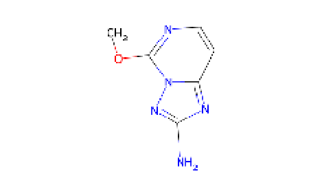 COc1nccc2nc(N)nn12